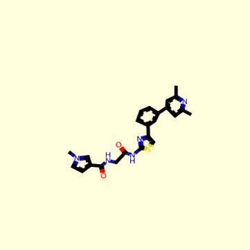 Cc1cc(-c2cccc(-c3csc(NC(=O)CNC(=O)c4ccn(C)c4)n3)c2)cc(C)n1